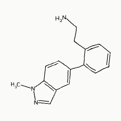 Cn1ncc2cc(-c3ccccc3CCN)ccc21